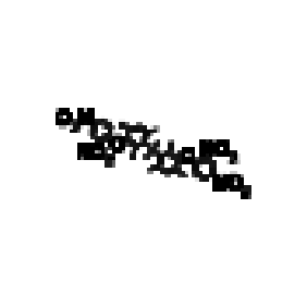 Cc1cc(C)c(C(C)(C)c2c(C)cc(C)c(Oc3ccc([N+](=O)[O-])cc3[N+](=O)[O-])c2C)c(C)c1Oc1ccc([N+](=O)[O-])cc1[N+](=O)[O-]